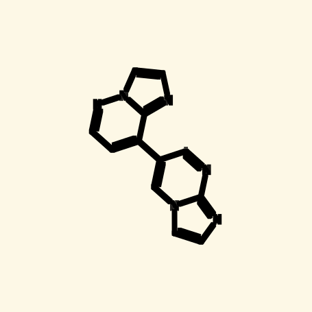 [c]1nc2nccn2cc1-c1ccnn2ccnc12